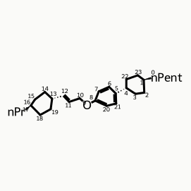 CCCCC[C@H]1CC[C@H](c2ccc(OC/C=C/[C@H]3CC[C@H](CCC)CC3)cc2)CC1